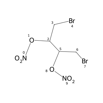 O=[N+]([O-])OC(CBr)C(CBr)O[N+](=O)[O-]